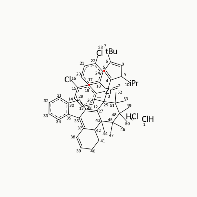 Cl.Cl.[CH2]=[Zr]([C]1=CC(C(C)(C)C)=CC1C(C)C)([c]1cccc(Cl)c1)([c]1cccc(Cl)c1)[C]1(C)C2=C3Cc4ccccc4C3=C3C=CCCC3C2(C)C(C)(C)C(C)(C)C1(C)C